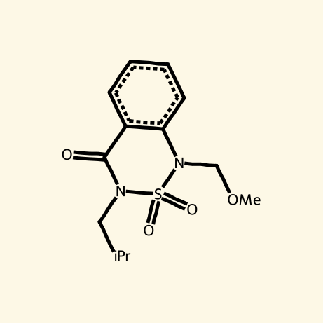 COCN1c2ccccc2C(=O)N(CC(C)C)S1(=O)=O